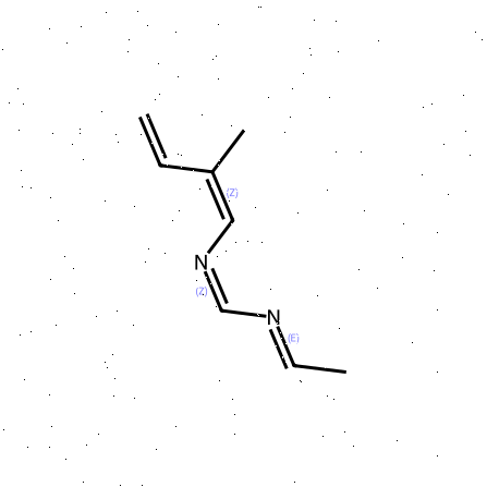 C=C\C(C)=C/N=C\N=C\C